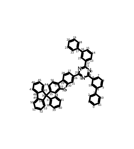 c1ccc(-c2cccc(-c3nc(-c4cccc(-c5ccccc5)c4)nc(-c4ccc5c(c4)sc4cc(C6(c7ccccc7)c7ccccc7-c7ccccc76)ccc45)n3)c2)cc1